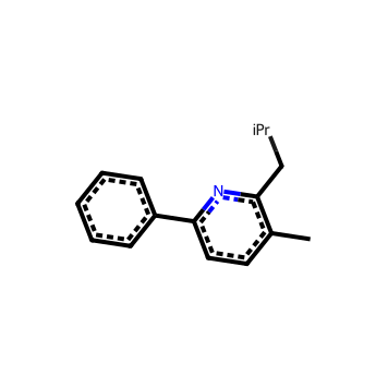 Cc1ccc(-c2ccccc2)nc1CC(C)C